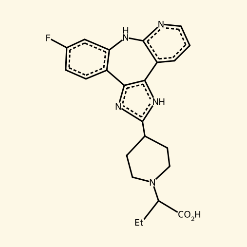 CCC(C(=O)O)N1CCC(c2nc3c([nH]2)-c2cccnc2Nc2cc(F)ccc2-3)CC1